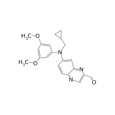 COc1cc(OC)cc(N(CC2CC2)c2ccc3ncc(C=O)nc3c2)c1